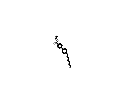 CCCCCCCCC1CCC(c2ccc(C(=O)OCC(F)F)cc2)CC1